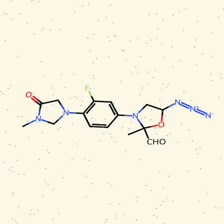 CN1CN(c2ccc(N3CC(N=[N+]=[N-])OC3(C)C=O)cc2F)CC1=O